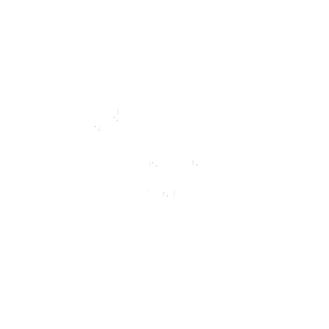 CCOC(NC(=O)Nc1ccccc1)(C(N)=O)c1cn[nH]c1